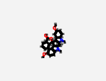 COc1ccc2c(c1)c(C1(c3c(C)n(C)c4ccc(OC)cc34)OC(=O)c3ccccc31)c(C)n2C